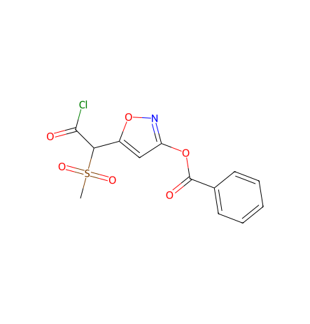 CS(=O)(=O)C(C(=O)Cl)c1cc(OC(=O)c2ccccc2)no1